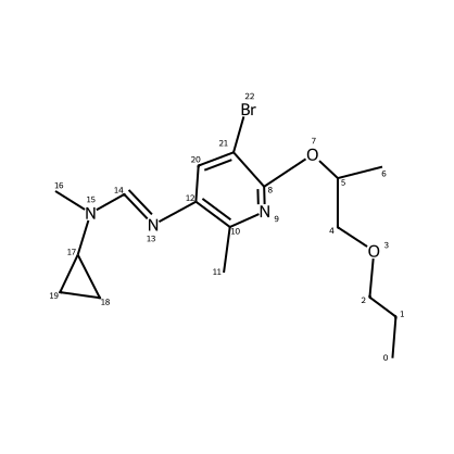 CCCOCC(C)Oc1nc(C)c(/N=C/N(C)C2CC2)cc1Br